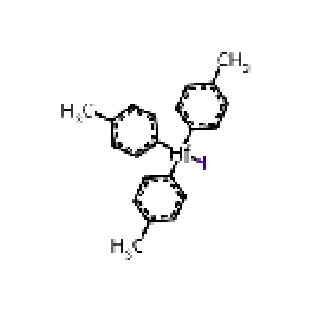 Cc1cc[c]([Hf]([I])([c]2ccc(C)cc2)[c]2ccc(C)cc2)cc1